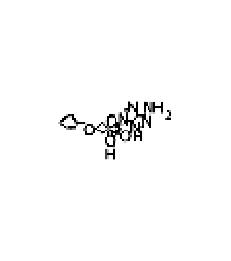 Nc1ncnc2c1ncn2[C@@H]1O[C@]2(C[C@@H](OCc3ccccc3)C2)[C@@H](O)[C@H]1O